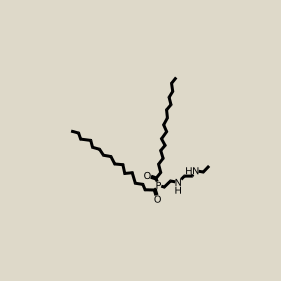 CCCCCCCCCCCCCCCC(=O)P(CCNCCNCC)C(=O)CCCCCCCCCCCCCCC